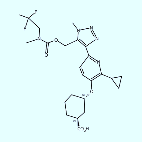 CN(CC(C)(F)F)C(=O)OCc1c(-c2ccc(O[C@H]3CCC[C@H](C(=O)O)C3)c(C3CC3)n2)nnn1C